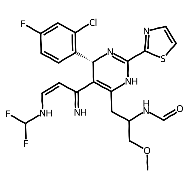 COCC(CC1=C(C(=N)/C=C\NC(F)F)[C@H](c2ccc(F)cc2Cl)N=C(c2nccs2)N1)NC=O